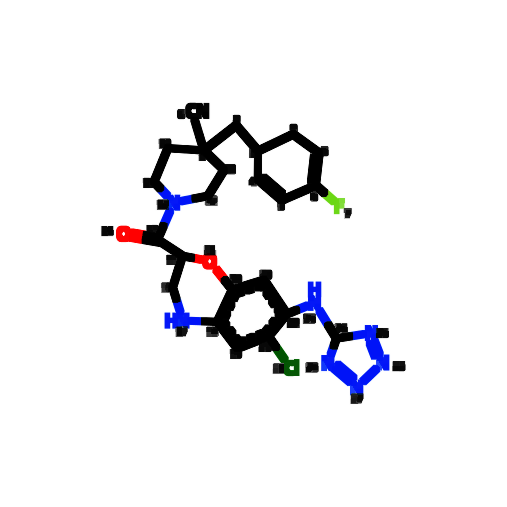 N#CC1(CC2C=CC(F)=CC2)CCN(C(=O)C2CNc3cc(Cl)c(NC4N=NN=N4)cc3O2)CC1